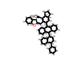 C#Cc1c(/C=C2\Cc3ccccc3O2)c(-c2c3ccccc3c(-c3ccc(-c4ccccc4)c4ccccc34)c3ccccc23)cc2c1CC=C2